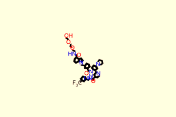 O=C(NCc1cccc(C(F)(F)F)c1)c1ccnc(-c2cc(N3CCCCC3)ccc2NC(=O)c2cccc(Cn3ccc4c(C(=O)NCCOCCOCCO)cccc43)c2)c1